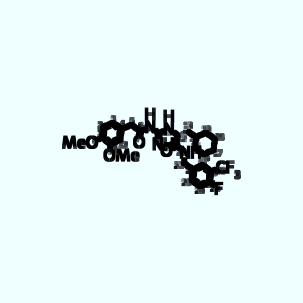 COc1ccc(CC(=O)NC(=N)N[C@H](CC2CCCCC2)C(=O)NCc2ccc(F)c(C(F)(F)F)c2)cc1OC